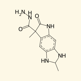 CC1Nc2cc3c(cc2N1)C(C)(C(=O)NN)C(=O)N3